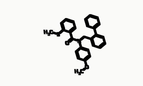 COc1ccc(N(Cc2ccccc2-c2ccccc2)C(=O)c2ccccc2SC)cc1